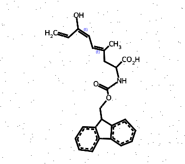 C=C/C(O)=C\C=C(/C)CC(NC(=O)OCC1c2ccccc2-c2ccccc21)C(=O)O